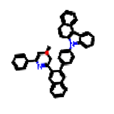 CC/C=C(\N=C(/CCC)c1cc2ccccc2cc1-c1ccc(-n2c3ccccc3c3c4ccccc4ccc32)cc1)c1ccccc1